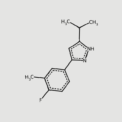 Cc1cc(-c2cc(C(C)C)[nH]n2)ccc1F